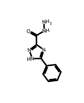 NNC(=O)c1n[nH]c(-c2ccccc2)n1